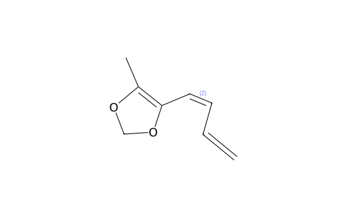 C=C/C=C\C1=C(C)OCO1